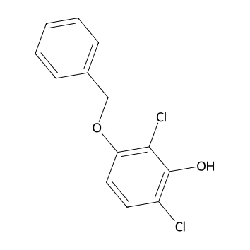 Oc1c(Cl)ccc(OCc2ccccc2)c1Cl